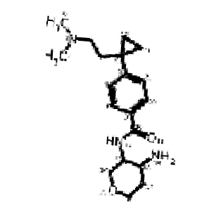 CN(C)CCC1(c2ccc(C(=O)NC3COCCC3N)cc2)CC1